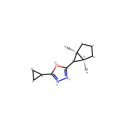 C1C[C@@H]2C(c3nnc(C4CC4)o3)[C@@H]2C1